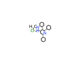 CNc1ccccc1-c1c(CCCl)cc(-c2ccccc2)nc1-c1ccccc1